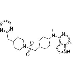 CN(c1ncnc2[nH]ccc12)C1CCC(CS(=O)(=O)N2CCC(Cc3ncccn3)CC2)CC1